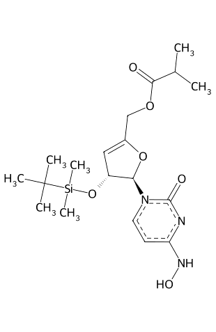 CC(C)C(=O)OCC1=C[C@@H](O[Si](C)(C)C(C)(C)C)[C@H](n2ccc(NO)nc2=O)O1